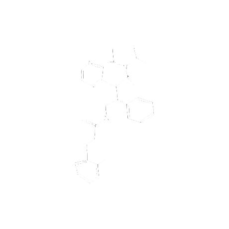 CC(C)N(C(=O)C(c1cccnc1)C(CNC(=O)CCc1ccccc1F)c1ccccc1)C(C)C